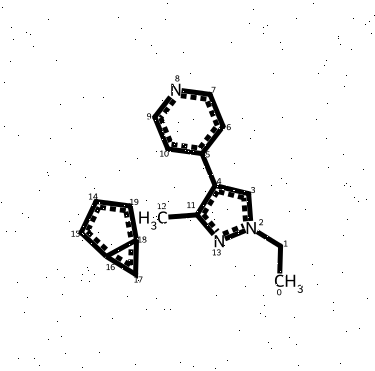 CCn1cc(-c2ccncc2)c(C)n1.c1cc2cc-2c1